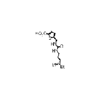 CCN(CC)CCCNC(=O)NCc1ccc(C(=O)O)s1